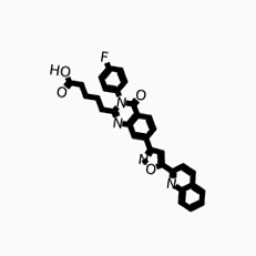 O=C(O)CCCCc1nc2cc(-c3cc(-c4ccc5ccccc5n4)on3)ccc2c(=O)n1-c1ccc(F)cc1